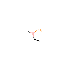 CCB(C)P